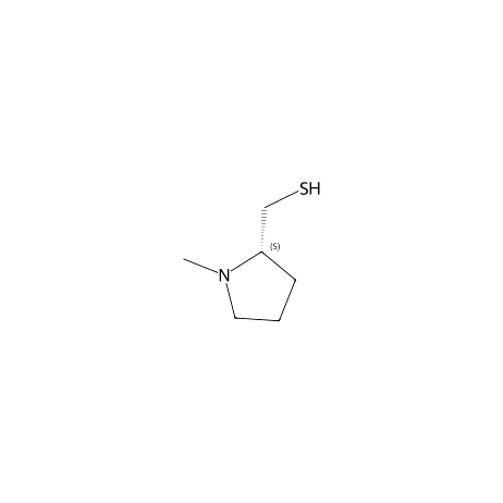 CN1CCC[C@H]1CS